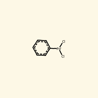 [Cl][Pd-]([Cl])[c]1ccccc1